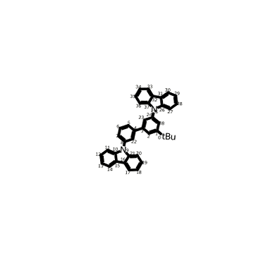 CC(C)(C)c1cc(-c2cccc(-n3c4ccccc4c4ccccc43)c2)cc(-n2c3ccccc3c3ccccc32)c1